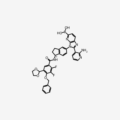 Nc1ncccc1-c1nc2ccc(B(O)O)nc2n1-c1ccc2c(c1)CC[C@@H]2NC(=O)c1cc(C2OCCO2)c(OCc2ccccc2)c(F)c1F